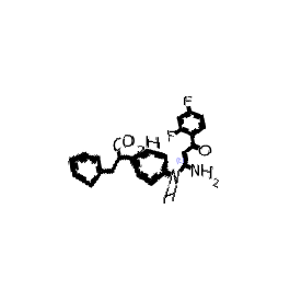 N/C(=C\C(=O)c1ccc(F)cc1F)Nc1ccc(C(Cc2ccccc2)C(=O)O)cc1